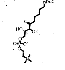 CCCCCCCCCCCCCCCC(=O)C(O)[C@@H](O)COP(=O)([O-])OCC[N+](C)(C)C